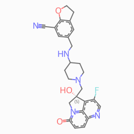 N#Cc1cc(CNC2CCN(C[C@]3(O)Cn4c(=O)ccc5ncc(F)c3c54)CC2)cc2c1OCC2